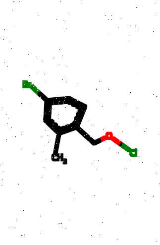 Cc1cc(Br)ccc1COCl